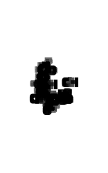 COc1cc2c(cc1Nc1ncc(Cl)c(Nc3ccc(OS(=O)(=O)F)cc3P(C)(C)=O)n1)C(=O)N(C)CC2.Cl